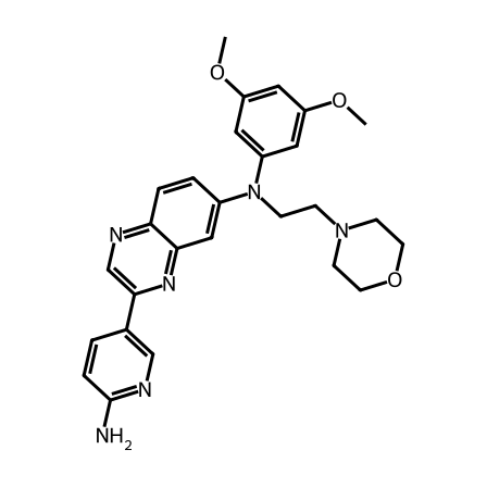 COc1cc(OC)cc(N(CCN2CCOCC2)c2ccc3ncc(-c4ccc(N)nc4)nc3c2)c1